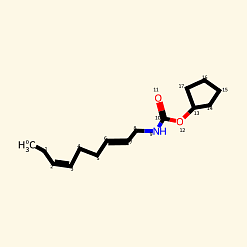 CC/C=C\CC/C=C/CNC(=O)OC1CCCC1